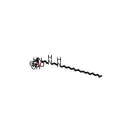 CCCCCCCCCCCCCCCCCCNCCCNCCC(=O)NC(C)(C)CS(=O)(=O)O